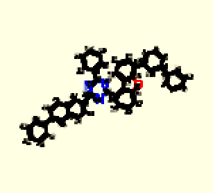 c1ccc(-c2cccc(-c3cccc4c3oc3cccc(-c5nc(-c6ccccc6)nc(-c6ccc7cc(-c8ccccc8)ccc7c6)n5)c34)c2)cc1